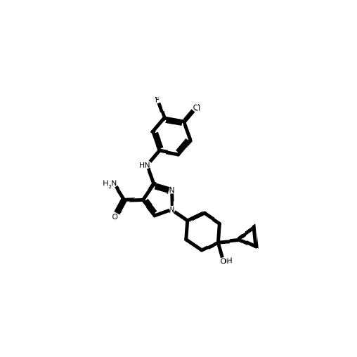 NC(=O)c1cn(C2CCC(O)(C3CC3)CC2)nc1Nc1ccc(Cl)c(F)c1